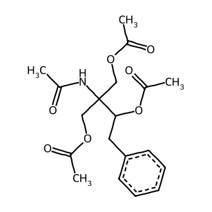 CC(=O)NC(COC(C)=O)(COC(C)=O)C(Cc1ccccc1)OC(C)=O